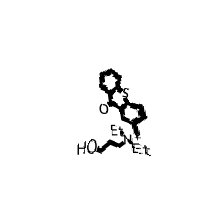 CC[N+](CC)(CCCO)Cc1ccc2sc3ccccc3c(=O)c2c1